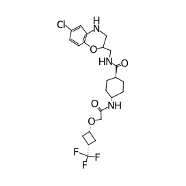 O=C(CO[C@H]1C[C@@H](C(F)(F)F)C1)N[C@H]1CC[C@H](C(=O)NCC2CNc3cc(Cl)ccc3O2)CC1